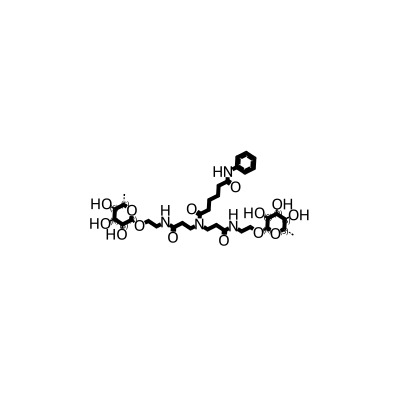 C[C@@H]1O[C@@H](OCCNC(=O)CCN(CCC(=O)NCCO[C@@H]2O[C@@H](C)[C@@H](O)[C@@H](O)[C@@H]2O)C(=O)CCCCC(=O)Nc2ccccc2)[C@@H](O)[C@H](O)[C@@H]1O